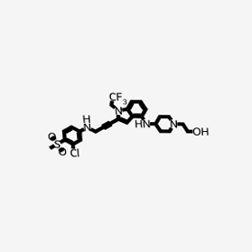 CS(=O)(=O)c1ccc(NCC#Cc2cc3c(NC4CCN(CCO)CC4)cccc3n2CC(F)(F)F)cc1Cl